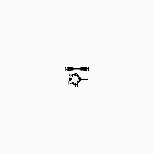 Cc1csnn1.N#CC#N